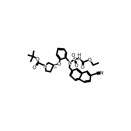 CCOC(=O)NS(=O)(=O)N(Cc1ccc2ccc(C#N)cc2c1)c1ccccc1O[C@H]1CCN(C(=O)OC(C)(C)C)C1